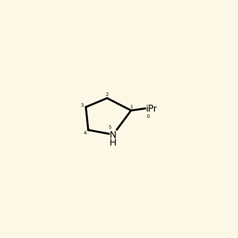 [CH2]C(C)C1CCCN1